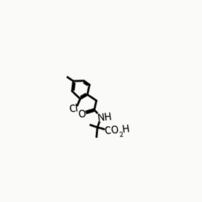 Cc1ccc(CC(=O)NC(C)(C)C(=O)O)c(Cl)c1